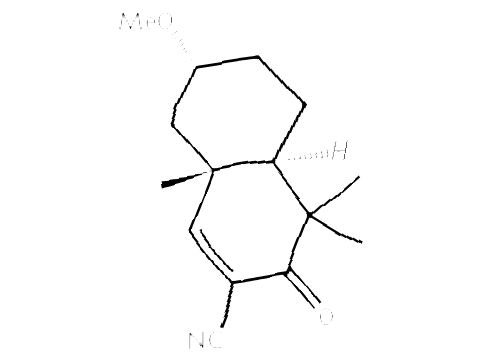 CO[C@@H]1CC[C@H]2C(C)(C)C(=O)C(C#N)=C[C@]2(C)C1